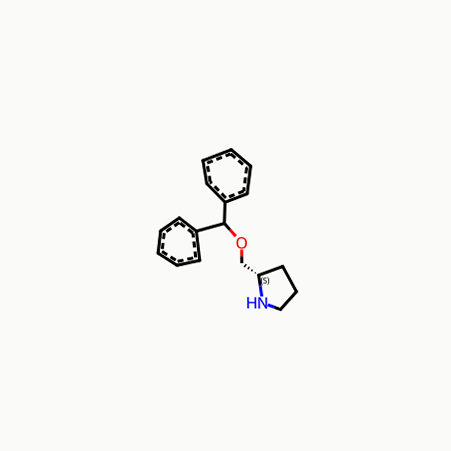 c1ccc(C(OC[C@@H]2CCCN2)c2ccccc2)cc1